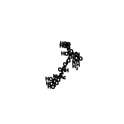 CC(=O)N[C@@H]1[C@@H](OCCCCC(=O)NCCOCCOCO[C@@H]2[C@H](O)[C@@H](COP(=O)(O)O)O[C@H]2n2cnc3c(=O)[nH]c(N)nc32)O[C@@H](CO)[C@@H](O)[C@H]1O